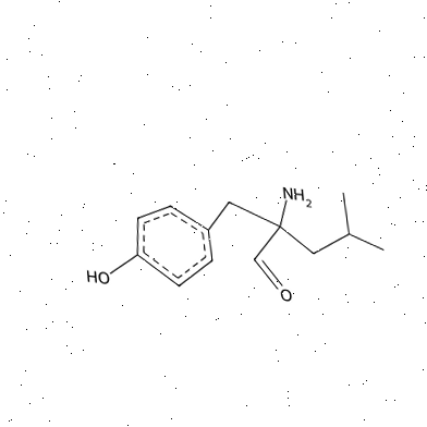 CC(C)CC(N)(C=O)Cc1ccc(O)cc1